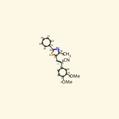 COc1ccc(/C(C#N)=C/c2sc(-c3ccccc3)nc2C)cc1OC